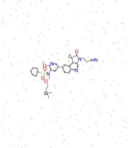 COc1ncc(-c2ccc3ncc4c(c3c2)C2(CC2)C(=O)N4CCC#N)cc1N(COCC[Si](C)(C)C)S(=O)(=O)c1ccccc1